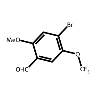 COc1cc(Br)c(OC(F)(F)F)cc1C=O